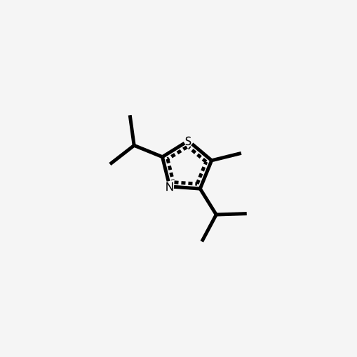 Cc1sc(C(C)C)nc1C(C)C